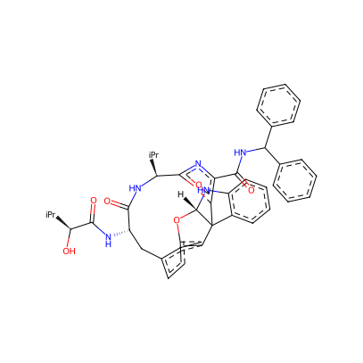 CC(C)[C@H](O)C(=O)N[C@H]1Cc2ccc3c(c2)C2(c4ccccc4N[C@H]2O3)c2oc(nc2C(=O)NC(c2ccccc2)c2ccccc2)[C@H](C(C)C)NC1=O